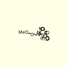 COCCOCCn1cc(NC(=O)c2ncccc2-c2ccco2)c(-c2ccccn2)n1